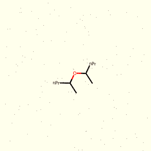 CCCC(C)OC(C)CCC